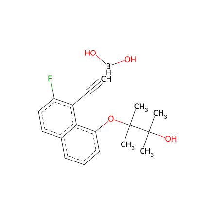 C#Cc1c(F)ccc2cccc(OC(C)(C)C(C)(C)O)c12.OBO